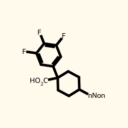 CCCCCCCCCC1CCC(C(=O)O)(c2cc(F)c(F)c(F)c2)CC1